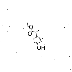 CCOC(=O)C(C)c1ccc(O)cc1